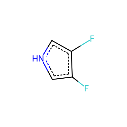 Fc1c[nH]cc1F